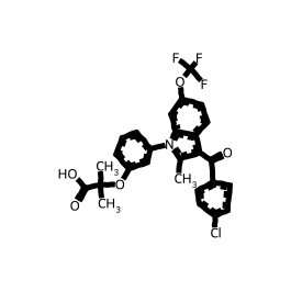 Cc1c(C(=O)c2ccc(Cl)cc2)c2ccc(OC(F)(F)F)cc2n1-c1cccc(OC(C)(C)C(=O)O)c1